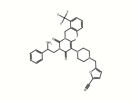 Cc1c(N2CCN(Cc3ccc(C#N)o3)CC2)c(=O)n(CC(N)c2ccccc2)c(=O)n1Cc1c(F)cccc1C(F)(F)F